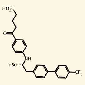 CCCC[C@@H](Cc1ccc(-c2ccc(C(F)(F)F)cc2)cc1)Nc1ccc(C(=O)CCCC(=O)O)cc1